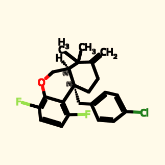 C=C1CC[C@@]2(Cc3ccc(Cl)cc3)c3c(F)ccc(F)c3OC[C@H]2C1(C)C